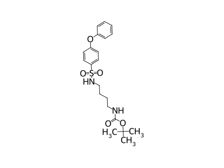 CC(C)(C)OC(=O)NCCCCNS(=O)(=O)c1ccc(Oc2ccccc2)cc1